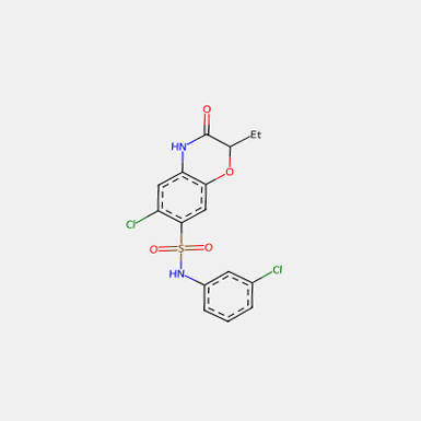 CCC1Oc2cc(S(=O)(=O)Nc3cccc(Cl)c3)c(Cl)cc2NC1=O